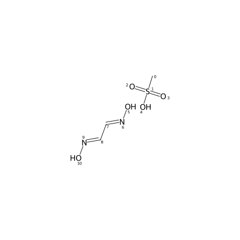 CS(=O)(=O)O.ON=CC=NO